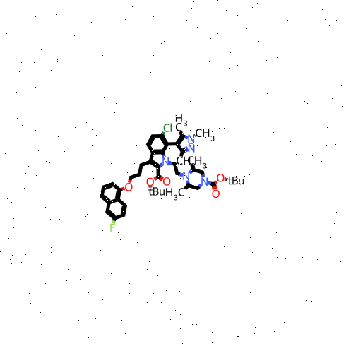 Cc1nn(C)c(C)c1-c1c(Cl)ccc2c(CCCOc3cccc4cc(F)ccc34)c(C(=O)OC(C)(C)C)n(CCN3C(C)CN(C(=O)OC(C)(C)C)CC3C)c12